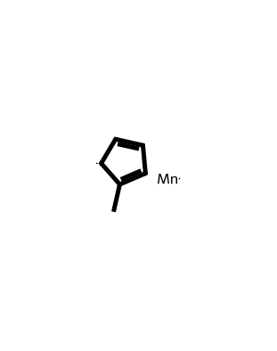 CC1=CC=C[CH]1.[Mn]